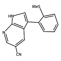 CSc1ccccc1-c1c[nH]c2ncc(C#N)cc12